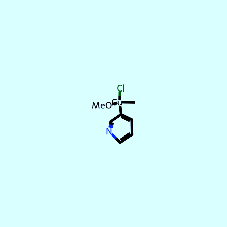 C[O][Cu]([CH3])([Cl])[c]1cccnc1